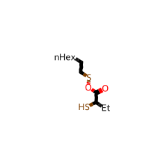 CCCCCCCCSOC(=O)C(S)CC